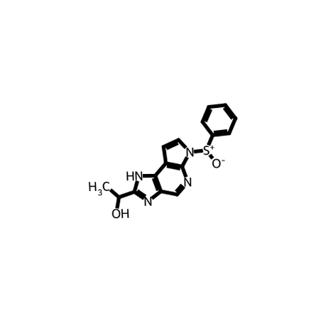 CC(O)c1nc2cnc3c(ccn3[S+]([O-])c3ccccc3)c2[nH]1